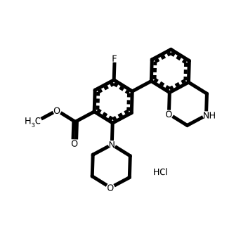 COC(=O)c1cc(F)c(-c2cccc3c2OCNC3)cc1N1CCOCC1.Cl